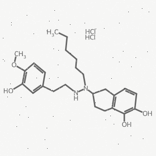 CCCCCCN(NCCc1ccc(OC)c(O)c1)C1CCc2c(ccc(O)c2O)C1.Cl.Cl